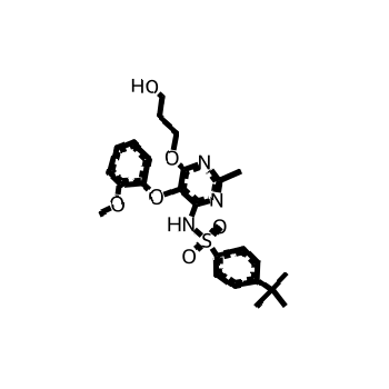 COc1ccccc1Oc1c(NS(=O)(=O)c2ccc(C(C)(C)C)cc2)nc(C)nc1OCCCO